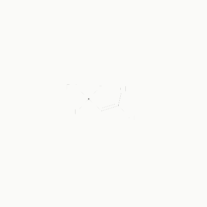 FC(F)(F)C(=CC(F)(F)C(F)(F)F)C(F)(F)F